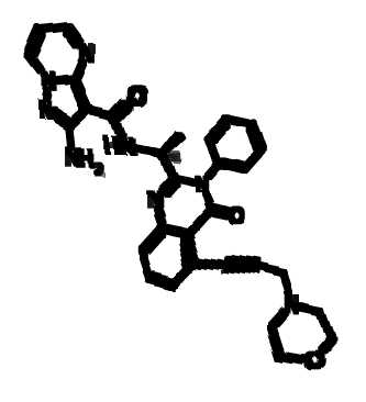 C[C@H](NC(=O)c1c(N)nn2cccnc12)c1nc2cccc(C#CCN3CCOCC3)c2c(=O)n1-c1ccccc1